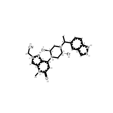 CC[C@H]1CN(C(C)c2ccc3nscc3c2)[C@H](CC)CN1c1cc(=O)n(C)c2cn(CC#N)nc12